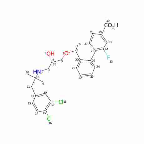 CC(OC[C@@H](O)CNC(C)(C)Cc1ccc(Cl)c(Cl)c1)c1ccccc1-c1ccc(C(=O)O)cc1F